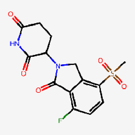 CS(=O)(=O)c1ccc(F)c2c1CN(C1CCC(=O)NC1=O)C2=O